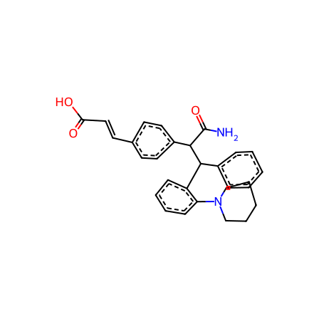 NC(=O)C(c1ccc(C=CC(=O)O)cc1)C(c1ccccc1)c1ccccc1N1CCCCC1